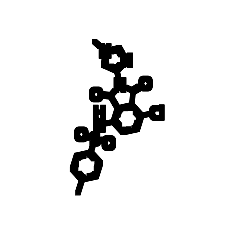 Cc1ccc(S(=O)(=O)Nc2ccc(Cl)c3c2C(=O)N(c2cn(C)cn2)C3=O)cc1